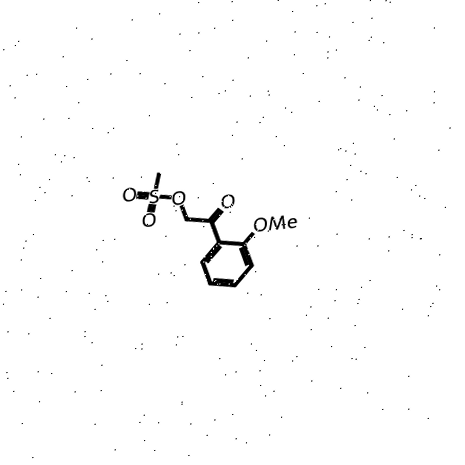 COc1ccccc1C(=O)COS(C)(=O)=O